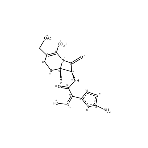 CC(=O)OCC1=C(C(=O)O)N2C(=O)[C@@H](NC(=O)/C(=N\O)c3csc(N)n3)[C@@H]2SC1